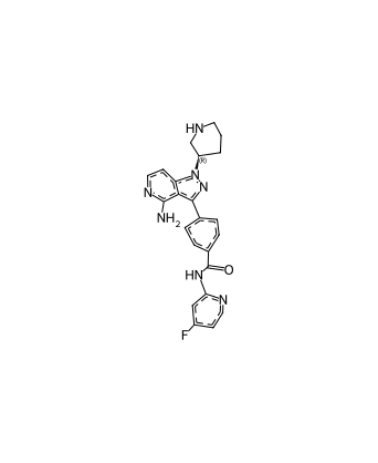 Nc1nccc2c1c(-c1ccc(C(=O)Nc3cc(F)ccn3)cc1)nn2[C@@H]1CCCNC1